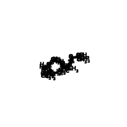 CCn1c(-c2cccnc2[C@H](C)OC)c2c3cc(ccc31)C1CCCN(C1)C[C@H](NC(=O)[C@@H](COC1CN(C(=O)C#CC(C)(C)N(C)C)C1)C(C)C)C(=O)N1CCC[C@H](N1)C(=O)OCC(C)(C)C2